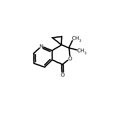 CC1(C)OC(=O)c2cccnc2C12CC2